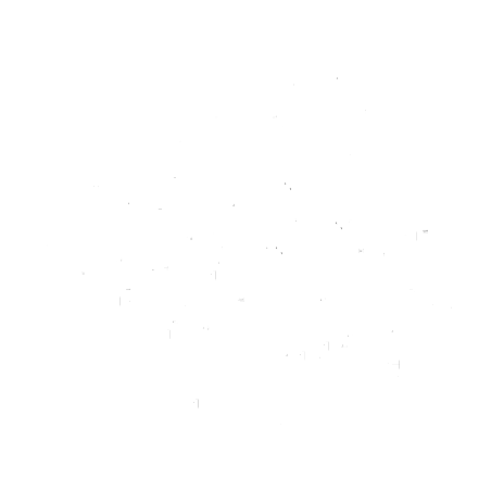 [2H]c1c([2H])c([2H])c(-c2nc(-n3c4ccccc4c4ccc5c6c(sc5c43)C(C)(C)c3ccccc3-6)nc3c([2H])c([2H])c([2H])c([2H])c23)c([2H])c1[2H]